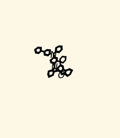 c1ccc(-c2ccc(N(c3ccccc3)c3ccc4c(c3)C3(CCCCC3)c3cc5c6ccccc6oc5c5c6ccccc6n-4c35)cc2)cc1